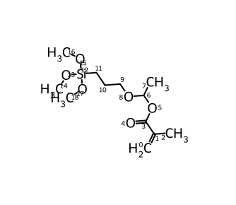 C=C(C)C(=O)OC(C)OCCC[Si](OC)(OC)OC